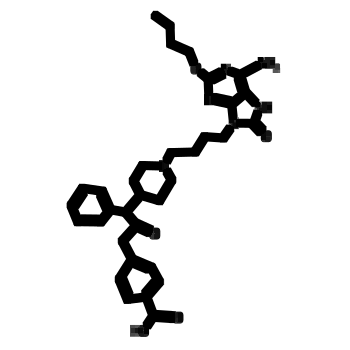 CCCCOc1nc(N)c2[nH]c(=O)n(CCCCN3CCC(C(C(=O)Cc4ccc(C(=O)O)cc4)c4ccccc4)CC3)c2n1